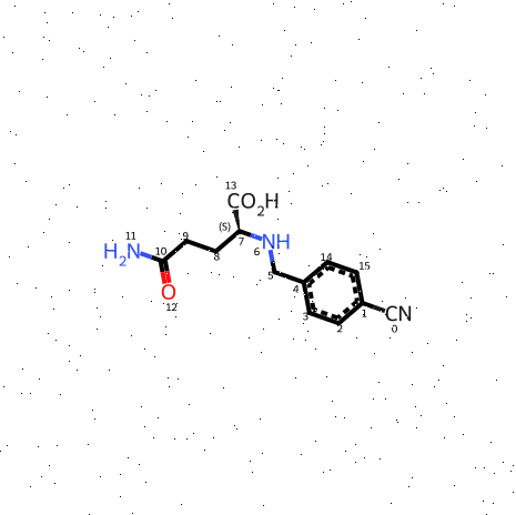 N#Cc1ccc(CN[C@@H](CCC(N)=O)C(=O)O)cc1